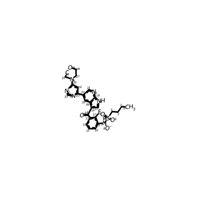 CCCCS(=O)(=O)[NH+]([O-])c1cccc(C(=O)c2c[nH]c3ncc(-c4cc(N5CCOCC5)ncn4)cc23)c1F